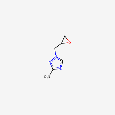 O=[N+]([O-])c1ncn(CC2CO2)n1